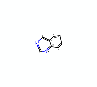 [c]1ccc2c(c1)=C[N+]=CN=2